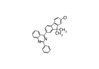 CC1(C)c2cc(Cl)ccc2-c2ccc(-c3nc(-c4ccccc4)nc4ccccc34)cc21